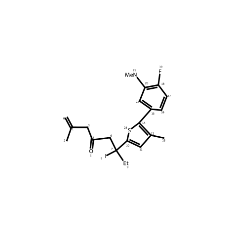 C=C(C)CC(=O)CC(I)(CC)c1cc(C)c(-c2ccc(F)c(NC)c2)s1